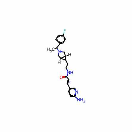 CC(c1ccc(F)cc1)N1C[C@@H]2C(CCNC(=O)/C=C/c3ccc(N)nc3)[C@@H]2C1